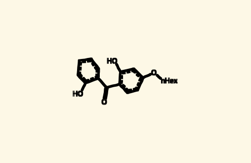 CCCCCCOc1ccc(C(=O)c2ccccc2O)c(O)c1